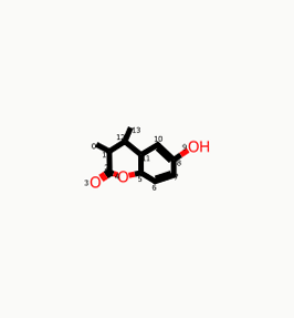 CC1C(=O)OC2C=CC(O)=CC2C1C